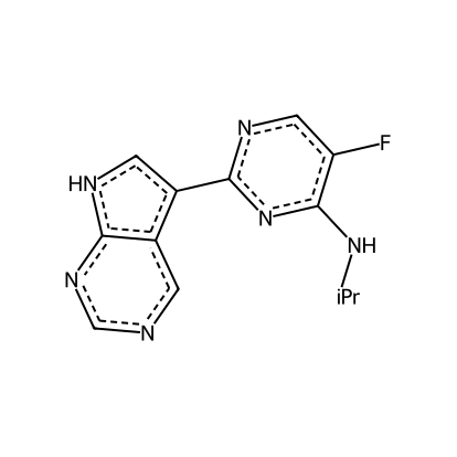 CC(C)Nc1nc(-c2c[nH]c3ncncc23)ncc1F